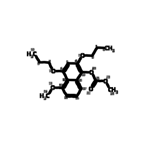 CCCOc1cc(OCCC)c2c(OC)cccc2c1OC(=O)OC